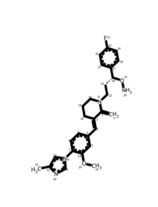 C=C1/C(=C/c2ccc(-n3cnc(C)c3)c(OC)c2)CCCN1CC[C@@H](ON)c1ccc(F)cc1